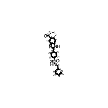 NC(=O)c1ccc2[nH]c(-c3ccc(S(=O)(=O)NCc4ccccn4)cc3)nc2c1